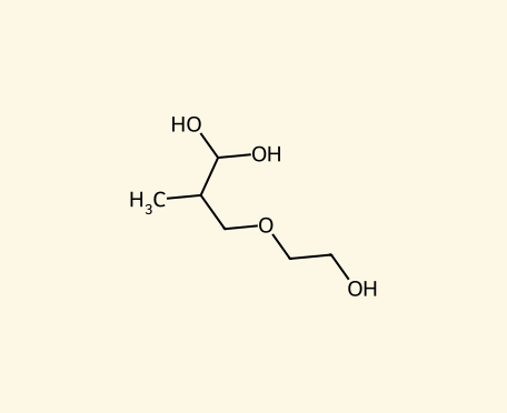 CC(COCCO)C(O)O